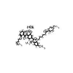 COc1cc(C(=O)N(C)c2ccc(C)cc2OCCCCCC(=O)N2CCCN(C)CC2)ccc1NC(=O)c1ccccc1OCCCN.Cl.Cl